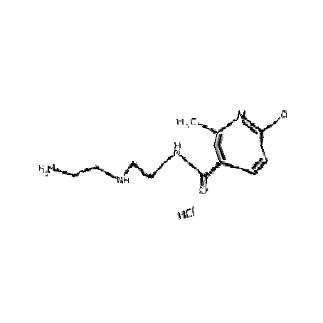 Cc1nc(Cl)ccc1C(=O)NCCNCCN.Cl